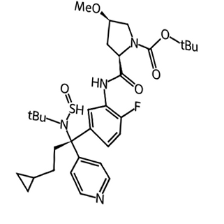 CO[C@@H]1C[C@H](C(=O)Nc2cc([C@](CCC3CC3)(c3ccncc3)N([SH]=O)C(C)(C)C)ccc2F)N(C(=O)OC(C)(C)C)C1